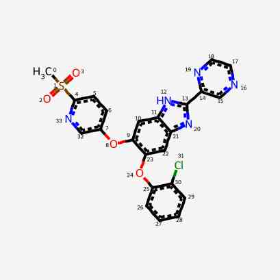 CS(=O)(=O)c1ccc(Oc2cc3[nH]c(-c4cnccn4)nc3cc2Oc2ccccc2Cl)cn1